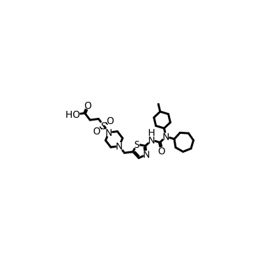 CC1CCC(N(C(=O)Nc2ncc(CN3CCN(S(=O)(=O)CCC(=O)O)CC3)s2)C2CCCCCC2)CC1